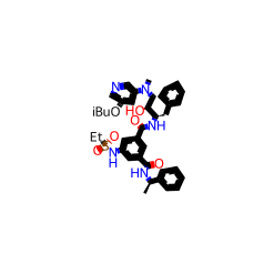 CCS(=O)(=O)Nc1cc(C(=O)N[C@@H](Cc2ccccc2)[C@H](O)CN(C)c2cncc(OCC(C)C)c2)cc(C(=O)N[C@H](C)c2ccccc2)c1